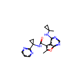 Cc1oc2ncnc(NC3(C)CC3)c2c1C(=O)NC1(c2ncccn2)CC1